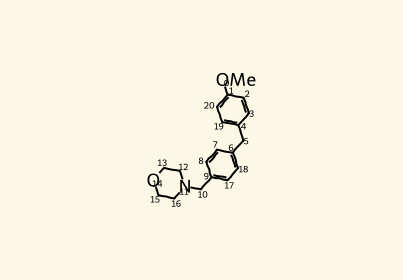 COc1ccc(Cc2ccc(CN3CCOCC3)cc2)cc1